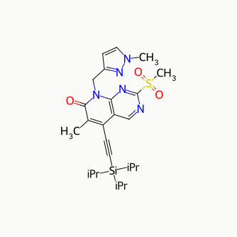 Cc1c(C#C[Si](C(C)C)(C(C)C)C(C)C)c2cnc(S(C)(=O)=O)nc2n(Cc2ccn(C)n2)c1=O